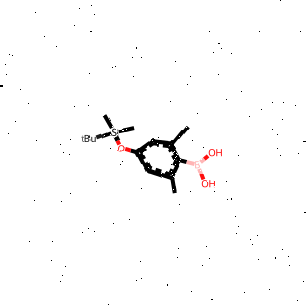 Cc1cc(O[Si](C)(C)C(C)(C)C)cc(C)c1B(O)O